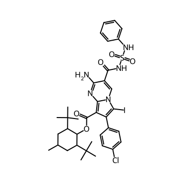 CC1CC(C(C)(C)C)C(OC(=O)c2c(-c3ccc(Cl)cc3)c(I)n3cc(C(=O)NS(=O)(=O)Nc4ccccc4)c(N)nc23)C(C(C)(C)C)C1